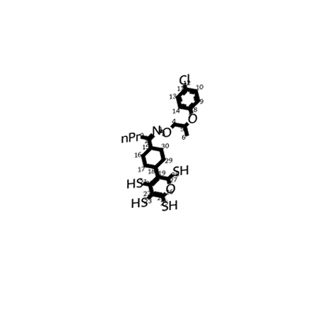 CCCC(=NOCC(C)Oc1ccc(Cl)cc1)C1CCC(C2=C(S)C(S)=C(S)OC2S)CC1